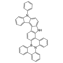 c1ccc(-n2c3ccccc3c3c4c(ccc32)[nH]c2c3c(ccc24)B2c4ccccc4-c4ccccc4N2c2ccccc2-3)cc1